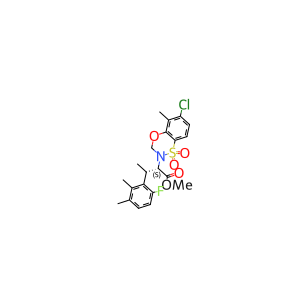 COC(=O)[C@H](C(C)c1c(F)ccc(C)c1C)N1COc2c(ccc(Cl)c2C)S1(=O)=O